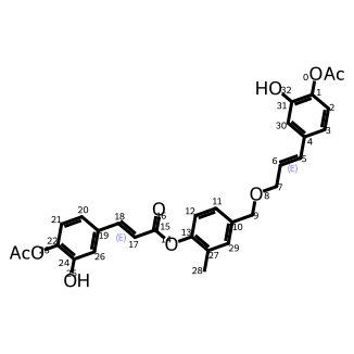 CC(=O)Oc1ccc(/C=C/COCc2ccc(OC(=O)/C=C/c3ccc(OC(C)=O)c(O)c3)c(C)c2)cc1O